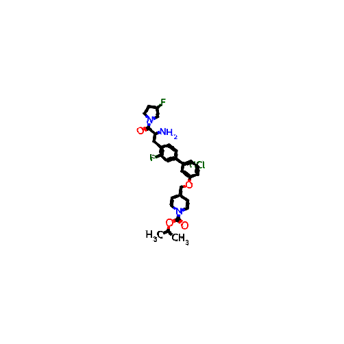 CC(C)OC(=O)N1CCC(COc2cccc(-c3ccc(CC(N)C(=O)N4CCC(F)C4)c(F)c3)c2)CC1.Cl